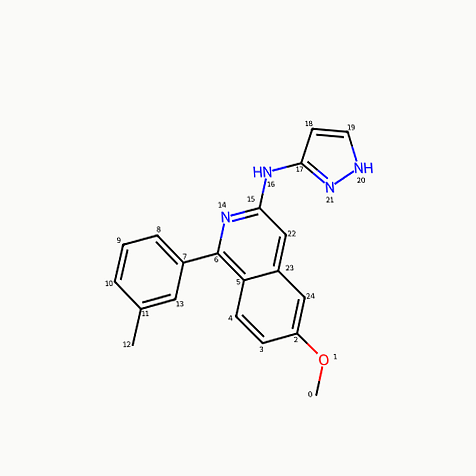 COc1ccc2c(-c3cccc(C)c3)nc(Nc3cc[nH]n3)cc2c1